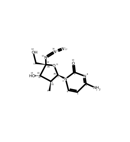 C[C@@H]1[C@H](n2ccc(N)nc2=O)O[C@@](CO)(N=[N+]=[N-])[C@H]1O